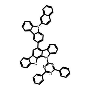 c1ccc(-c2nc(-c3ccccc3)nc(-n3c4ccccc4c4c(-c5ccc6c(c5)c5ccccc5n6-c5ccc6ccccc6c5)cc5c6ccccc6oc5c43)n2)cc1